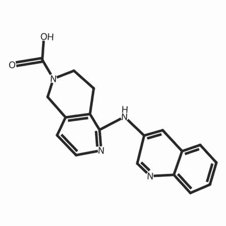 O=C(O)N1CCc2c(ccnc2Nc2cnc3ccccc3c2)C1